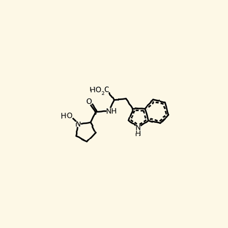 O=C(O)C(Cc1c[nH]c2ccccc12)NC(=O)C1CCCN1O